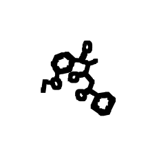 CCOc1cccc(C(=O)C(C)C(=O)CC(=O)c2ccccc2)c1